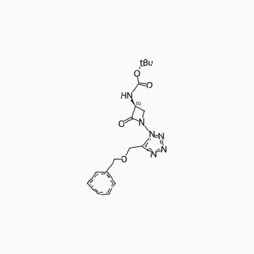 CC(C)(C)OC(=O)N[C@H]1CN(n2nnnc2COCc2ccccc2)C1=O